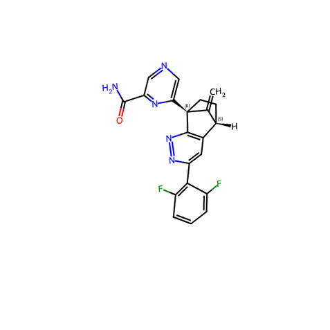 C=C1[C@@H]2CC[C@@]1(c1cncc(C(N)=O)n1)c1nnc(-c3c(F)cccc3F)cc12